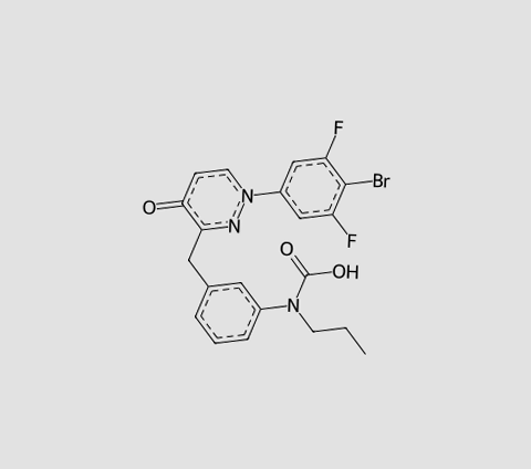 CCCN(C(=O)O)c1cccc(Cc2nn(-c3cc(F)c(Br)c(F)c3)ccc2=O)c1